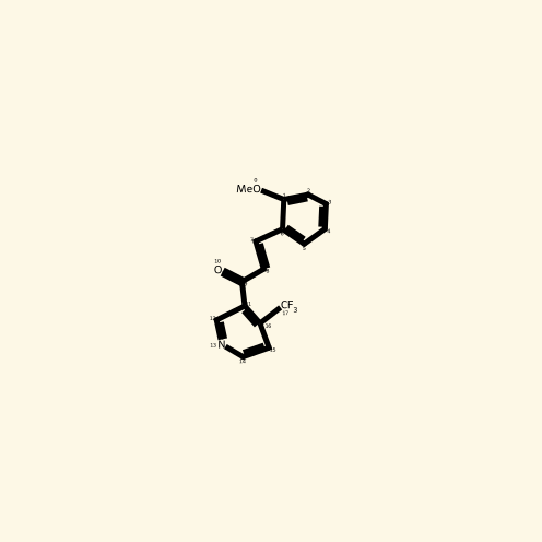 COc1ccccc1C=CC(=O)c1cnccc1C(F)(F)F